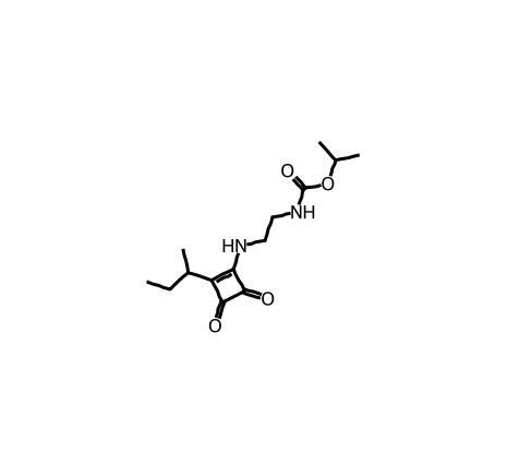 CCC(C)c1c(NCCNC(=O)OC(C)C)c(=O)c1=O